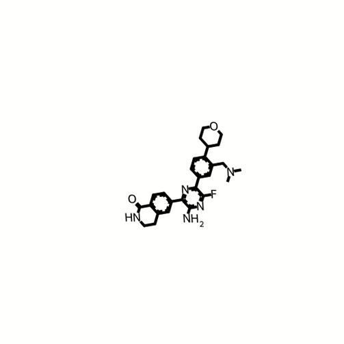 CN(C)Cc1cc(-c2nc(-c3ccc4c(c3)CCNC4=O)c(N)nc2F)ccc1C1CCOCC1